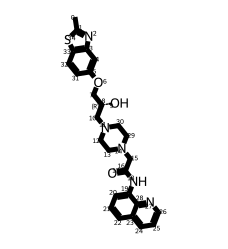 Cc1nc2cc(OC[C@H](O)CN3CCN(CC(=O)Nc4cccc5cccnc45)CC3)ccc2s1